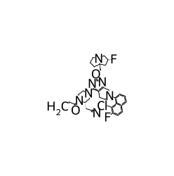 C=CC(=O)N1CCN(c2nc(OC[C@@]34CCCN3C[C@H](F)C4)nc3c2CCN(c2cccc4ccc(F)c(Cl)c24)C3)C[C@@H]1CC#N